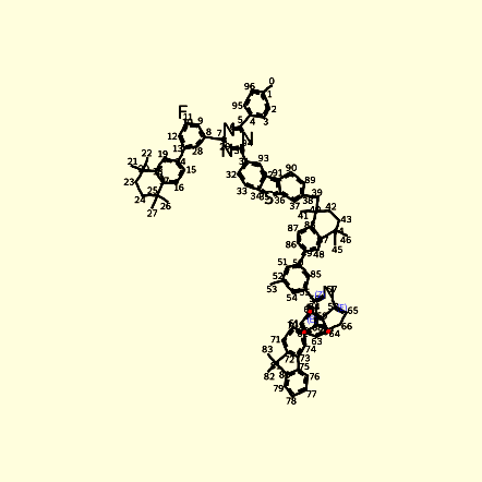 Cc1ccc(-c2nc(-c3cc(F)cc(-c4ccc5c(c4)C(C)(C)CCC5(C)C)c3)nc(-c3ccc4sc5cc(CC6(C)CCC(C)(C)c7cc(-c8cc(C)cc(C9=N/C(c%10ccccc%10)=C/CC/C(c%10ccc%11c(c%10)-c%10ccccc%10C%11(C)C)=N\9)c8)ccc76)ccc5c4c3)n2)cc1